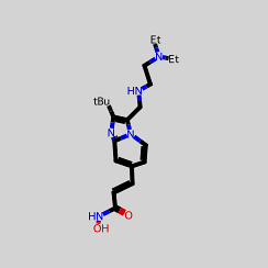 CCN(CC)CCNCc1c(C(C)(C)C)nc2cc(C=CC(=O)NO)ccn12